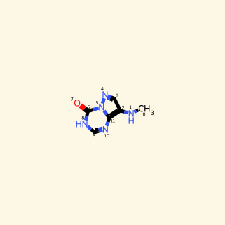 CNc1cnn2c(=O)[nH]cnc12